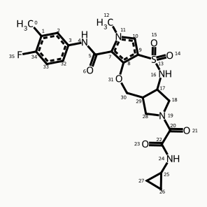 Cc1cc(NC(=O)c2c3c(cn2C)S(=O)(=O)NC2CN(C(=O)C(=O)NC4CC4)CC2CO3)ccc1F